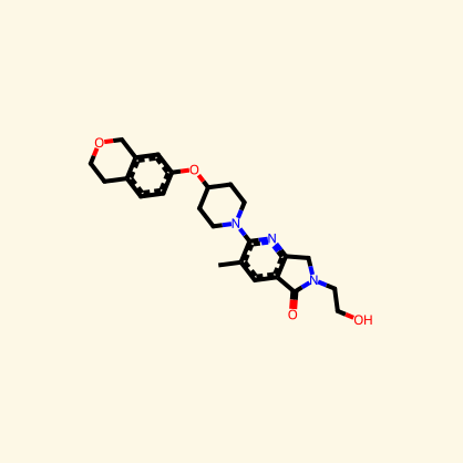 Cc1cc2c(nc1N1CCC(Oc3ccc4c(c3)COCC4)CC1)CN(CCO)C2=O